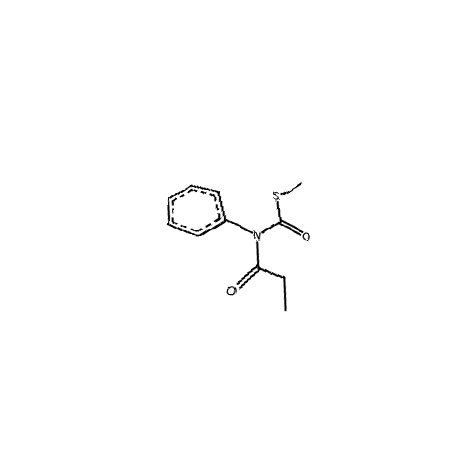 CCC(=O)N(C(=O)SC)c1ccccc1